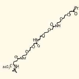 CC(C)C(=O)COCCOCCNC(=O)COCCOCCNC(=O)COCCOCCNC(=O)CC[C@H](NN(C)C)C(=O)O